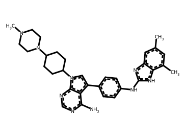 Cc1cc(C)c2[nH]c(Nc3ccc(-c4cn(C5CCC(N6CCN(C)CC6)CC5)c5ncnc(N)c45)cc3)nc2c1